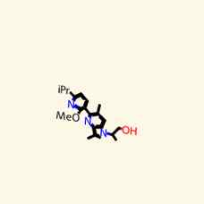 COc1nc(C(C)C)ccc1-c1nc2c(C)cn(C(C)CO)c2cc1C